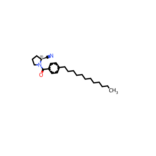 CCCCCCCCCCCCc1ccc(C(=O)N2CCC[C@H]2C#N)cc1